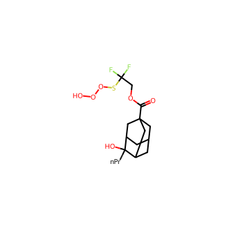 CCCC1(O)C2CC3CC1CC(C(=O)OCC(F)(F)SOOO)(C3)C2